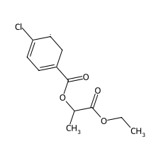 CCOC(=O)C(C)OC(=O)C1=CC=C(Cl)[CH]C1